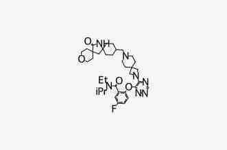 CCN(C(=O)c1cc(F)ccc1Oc1nncnc1N1CC2(CCN(CC3CCC4(CC3)CC3(CCOCC3)C(=O)N4)CC2)C1)C(C)C